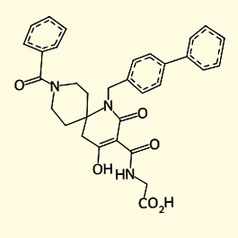 O=C(O)CNC(=O)C1=C(O)CC2(CCN(C(=O)c3ccccc3)CC2)N(Cc2ccc(-c3ccccc3)cc2)C1=O